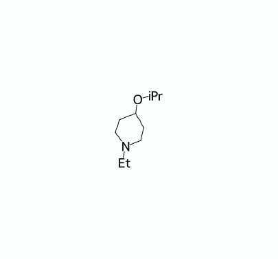 CCN1CCC(OC(C)C)CC1